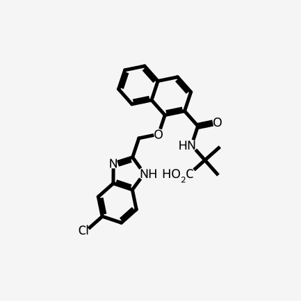 CC(C)(NC(=O)c1ccc2ccccc2c1OCc1nc2cc(Cl)ccc2[nH]1)C(=O)O